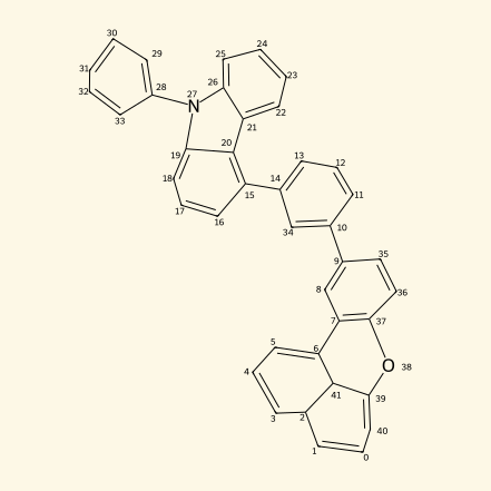 C1=CC2C=CC=C3c4cc(-c5cccc(-c6cccc7c6c6ccccc6n7-c6ccccc6)c5)ccc4OC(=C1)C32